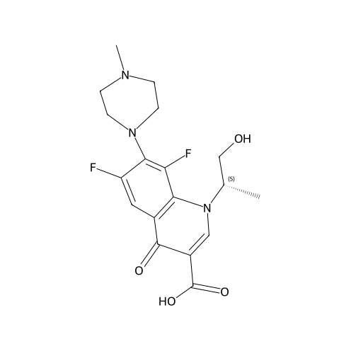 C[C@@H](CO)n1cc(C(=O)O)c(=O)c2cc(F)c(N3CCN(C)CC3)c(F)c21